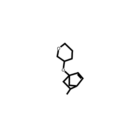 CC1CC2(OC3CCCOC3)C=CC1C2